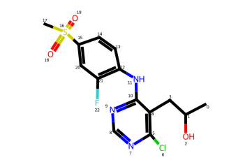 CC(O)Cc1c(Cl)ncnc1Nc1ccc(S(C)(=O)=O)cc1F